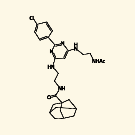 CC(=O)NCCNc1cc(NCCNC(=O)C23CC4CC(CC(C4)C2)C3)nc(-c2ccc(Cl)cc2)n1